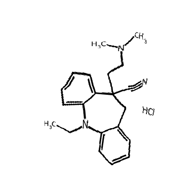 CCN1c2ccccc2CC(C#N)(CCN(C)C)c2ccccc21.Cl